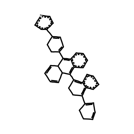 C1=CCCC(C2=c3ccccc3=C(C3=c4ccccc4=C(C4=CC=C(c5ccncc5)CC4)C4C=CC=CC34)CC2)=C1